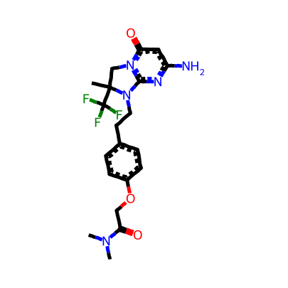 CN(C)C(=O)COc1ccc(CCN2c3nc(N)cc(=O)n3CC2(C)C(F)(F)F)cc1